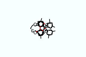 Cc1cc(C)cc(P(=O)(c2cc(C)cc(C)c2)c2cccc3c2-c2c(cccc2P(=O)(c2cc(C)cc(C)c2)c2cc(C)cc(C)c2)OCCCO3)c1